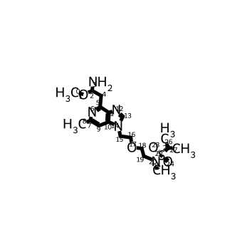 COC(N)Cc1nc(C)cc2c1ncn2CCOCCN(C)S(=O)(=O)C(C)C